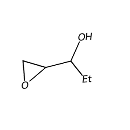 CCC(O)C1CO1